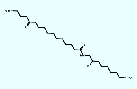 CCCCCCCCCCCCCCCCC(O)CNC(=O)CCCCCCCCCCC(=O)CCCCCCCCCCCCC